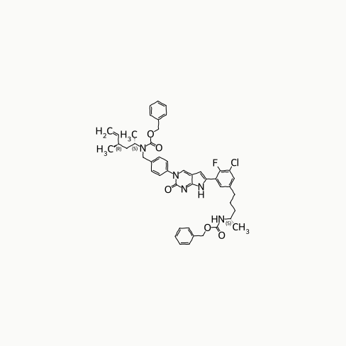 C=C[C@H](C)C[C@H](C)N(Cc1ccc(-n2cc3cc(-c4cc(CCC[C@H](C)NC(=O)OCc5ccccc5)cc(Cl)c4F)[nH]c3nc2=O)cc1)C(=O)OCc1ccccc1